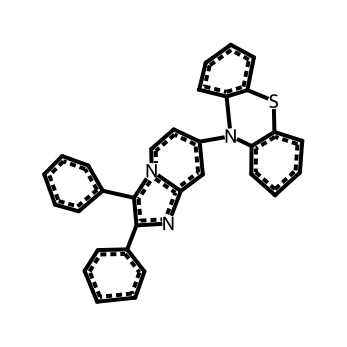 c1ccc(-c2nc3cc(N4c5ccccc5Sc5ccccc54)ccn3c2-c2ccccc2)cc1